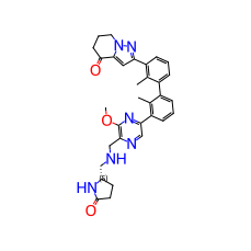 COc1nc(-c2cccc(-c3cccc(-c4cc5n(n4)CCCC5=O)c3C)c2C)cnc1CNC[C@@H]1CCC(=O)N1